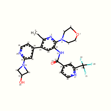 Cc1nc(N2CCOCC2)c(NC(=O)c2ccnc(C(F)(F)F)c2)cc1-c1ccnc(N2CC(O)C2)c1